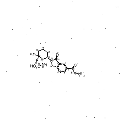 NNC(=O)c1cnc2c(c1)C(=O)N([C@@H]1CCCC(F)(F)[C@H]1NC(=O)O)C2